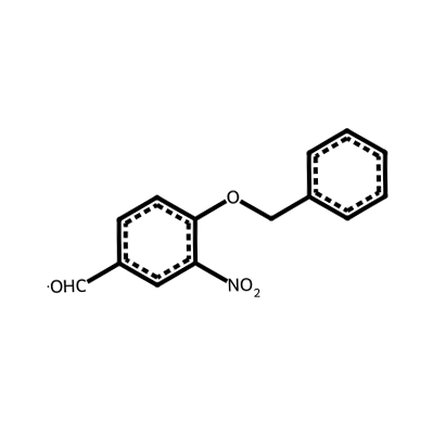 O=[C]c1ccc(OCc2ccccc2)c([N+](=O)[O-])c1